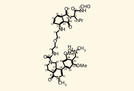 CCCC(C(=O)NC=O)N1C(=O)c2cccc(NCCOCCNC(=O)N3CCc4c(c(-c5cc(OC)c(CN(C)C)c(OC)c5)cn(C)c4=O)C3)c2C1=O